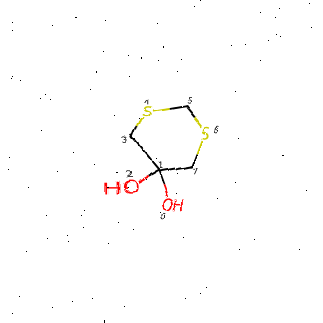 OC1(O)CSCSC1